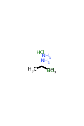 CCC.Cl.Cl.N.N